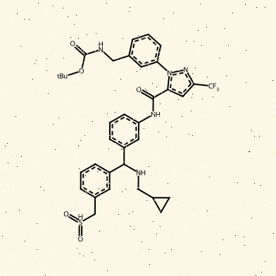 CC(C)(C)OC(=O)NCc1cccc(-n2nc(C(F)(F)F)cc2C(=O)Nc2cccc(C(NCC3CC3)c3cccc(C[SH](=O)=O)c3)c2)c1